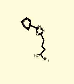 NC(O)CCCc1nnc(-c2ccccc2)o1